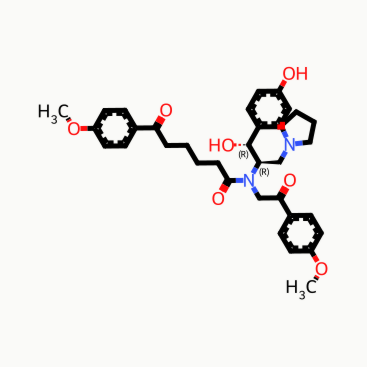 COc1ccc(C(=O)CCCCC(=O)N(CC(=O)c2ccc(OC)cc2)[C@H](CN2CCCC2)[C@H](O)c2ccc(O)cc2)cc1